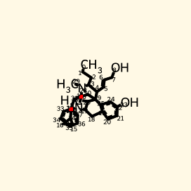 CCCC(C(C=CCO)C12CCN(CC3CC3)C(Cc3ccc(O)cc31)C2C)N(C)CCc1ccccc1